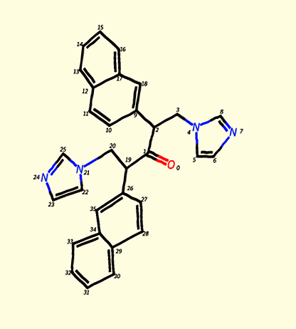 O=C(C(Cn1ccnc1)c1ccc2ccccc2c1)C(Cn1ccnc1)c1ccc2ccccc2c1